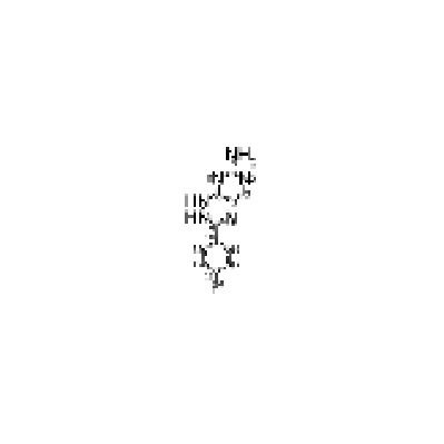 Nc1ncc2c(n1)NNC(c1ccc(F)cc1)=N2